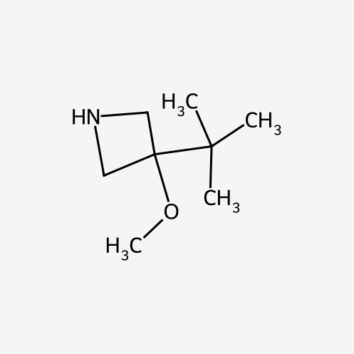 COC1(C(C)(C)C)CNC1